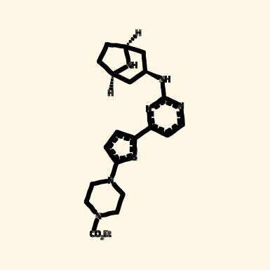 CCOC(=O)N1CCN(c2ccc(-c3ccnc(N[C@H]4C[C@H]5CC[C@@H](C4)N5)n3)s2)CC1